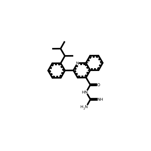 CC(C)C(C)c1ccccc1-c1cc(C(=O)NC(=N)N)c2ccccc2n1